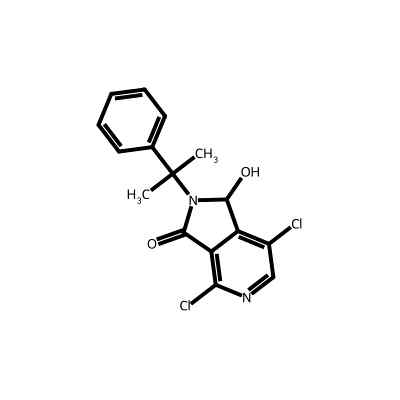 CC(C)(c1ccccc1)N1C(=O)c2c(Cl)ncc(Cl)c2C1O